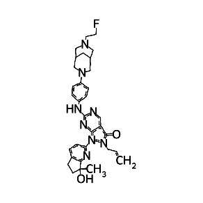 C=CCn1c(=O)c2cnc(Nc3ccc(N4CC5CC(CN(CCF)C5)C4)cc3)nc2n1-c1ccc2c(n1)[C@](C)(O)CC2